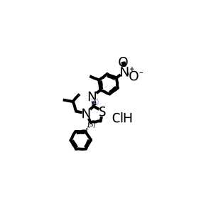 Cc1cc([N+](=O)[O-])ccc1/N=C1\SC[C@H](c2ccccc2)N1CC(C)C.Cl